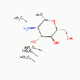 CC(=O)O.CC(=O)O.CC(=O)O.CC(=O)O.CC(=O)O[C@@H]1O[C@H](CO)[C@@H](O)[C@H](O)[C@H]1N